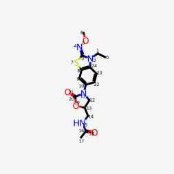 CCn1c(=NOC)sc2cc(N3CC(CNC(C)=O)OC3=O)ccc21